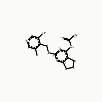 Cc1cncc(Cl)c1CSc1nc2c(c(OC(=O)C(C)C)n1)CCC2